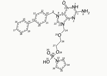 Nc1nc2c(c(=O)[nH]1)[n+](Cc1ccc(-c3ccccc3)cc1)cn2COCCOP(=O)(O)n1cccc1